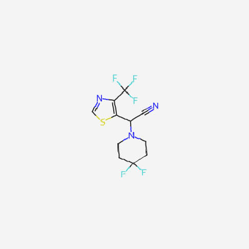 N#CC(c1scnc1C(F)(F)F)N1CCC(F)(F)CC1